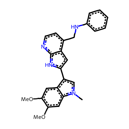 COc1cc2c(-c3cc4c(CNc5ccccc5)ccnc4[nH]3)cn(C)c2cc1OC